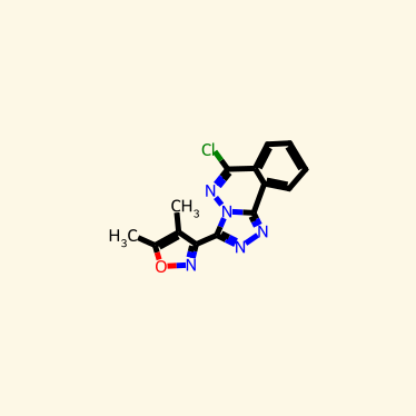 Cc1onc(-c2nnc3c4ccccc4c(Cl)nn23)c1C